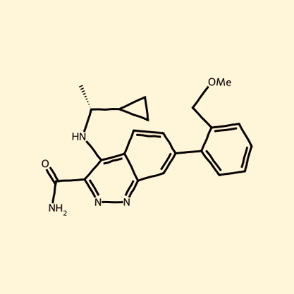 COCc1ccccc1-c1ccc2c(N[C@H](C)C3CC3)c(C(N)=O)nnc2c1